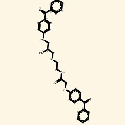 O=C(COc1ccc(C(=O)c2ccccc2)cc1)OCCOCC(O)COC1=C=C=C(C(=O)c2ccccc2)C=C1